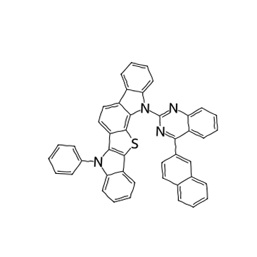 c1ccc(-n2c3ccccc3c3sc4c(ccc5c6ccccc6n(-c6nc(-c7ccc8ccccc8c7)c7ccccc7n6)c54)c32)cc1